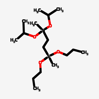 CCCO[Si](C)(CC[Si](C)(OC(C)C)OC(C)C)OCCC